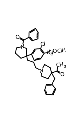 CC(=O)C1(Cc2ccccc2)CCN(CCCC2(c3ccc(Cl)c(Cl)c3)CCCN(C(=O)c3ccccc3)C2)CC1.Cl.O